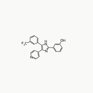 Oc1cccc(-c2nc(-c3ccncc3)c(-c3cccc(C(F)(F)F)c3)[nH]2)c1